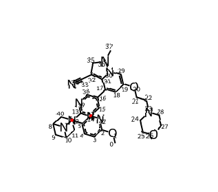 COc1ccc(CN2C3CC2CN(c2ncc(C4=CC(OCCN5CCOCC5)=CN5C4=C(C#N)CN5C)cn2)C3)cn1